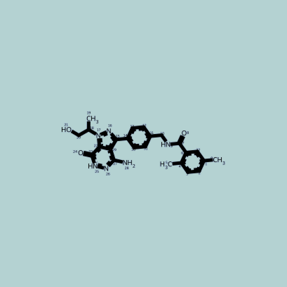 Cc1ccc(C)c(C(=O)NCc2ccc(-c3nn(C(C)CO)c4c(=O)[nH]nc(N)c34)cc2)c1